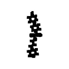 CN1CCC(N2CCN(C(=O)C(=O)OCCCN3CCOCC3)CC2)CC1